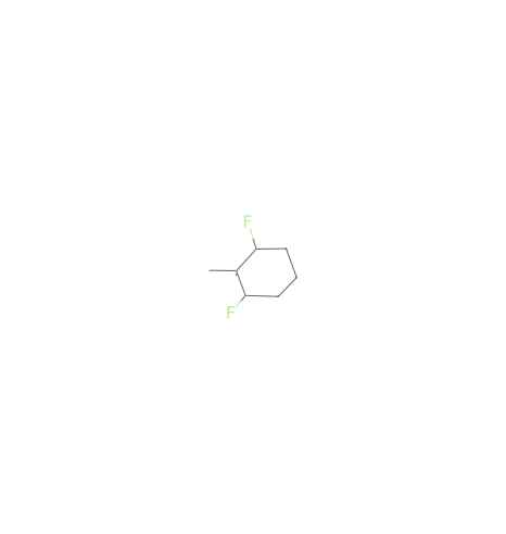 C[C]1C(F)CCCC1F